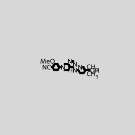 COc1cc(N2CCc3c(ncnc3Nc3ccc(C(C)(C)O)cn3)C2)ccc1C#N